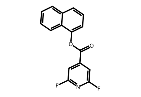 O=C(Oc1cccc2ccccc12)c1cc(F)nc(F)c1